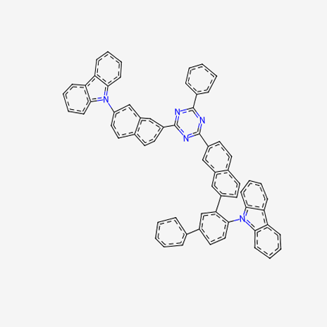 c1ccc(-c2ccc(-n3c4ccccc4c4ccccc43)c(-c3ccc4ccc(-c5nc(-c6ccccc6)nc(-c6ccc7ccc(-n8c9ccccc9c9ccccc98)cc7c6)n5)cc4c3)c2)cc1